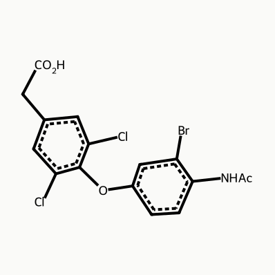 CC(=O)Nc1ccc(Oc2c(Cl)cc(CC(=O)O)cc2Cl)cc1Br